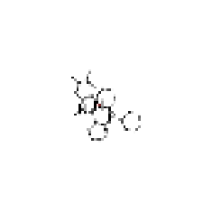 Cc1cc2nc(-c3ccccc3P(C3CCCCC3)C3CCCCC3)n(C)c2cc1C